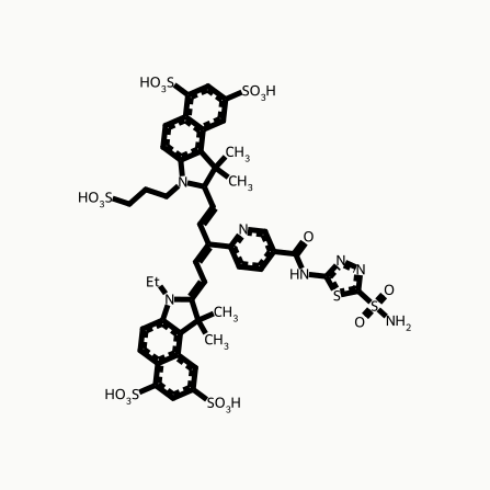 CCN1C(=CC=C(/C=C/C2N(CCCS(=O)(=O)O)c3ccc4c(S(=O)(=O)O)cc(S(=O)(=O)O)cc4c3C2(C)C)c2ccc(C(=O)Nc3nnc(S(N)(=O)=O)s3)cn2)C(C)(C)c2c1ccc1c(S(=O)(=O)O)cc(S(=O)(=O)O)cc21